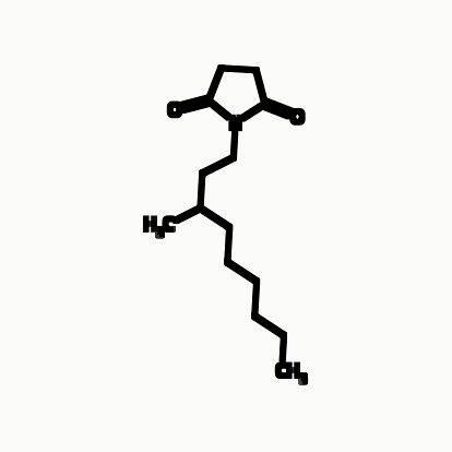 CCCCCCC(C)CCN1C(=O)CCC1=O